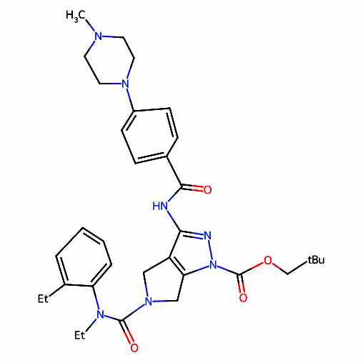 CCc1ccccc1N(CC)C(=O)N1Cc2c(NC(=O)c3ccc(N4CCN(C)CC4)cc3)nn(C(=O)OCC(C)(C)C)c2C1